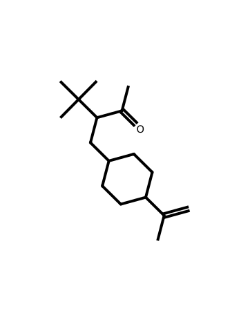 C=C(C)C1CCC(CC(C(C)=O)C(C)(C)C)CC1